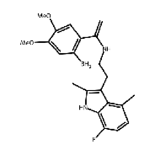 Bc1cc(OC)c(OC)cc1C(=C)NCCc1c(C)[nH]c2c(F)ccc(C)c12